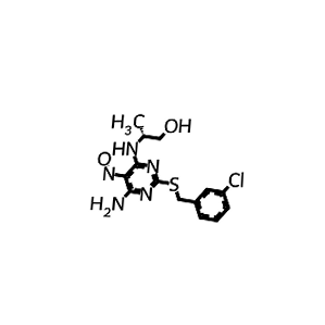 C[C@H](CO)Nc1nc(SCc2cccc(Cl)c2)nc(N)c1N=O